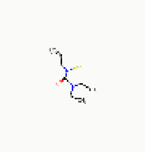 C=CCN(S)C(=O)N(CC)CC